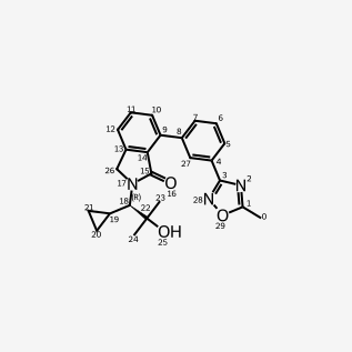 Cc1nc(-c2cccc(-c3cccc4c3C(=O)N([C@H](C3CC3)C(C)(C)O)C4)c2)no1